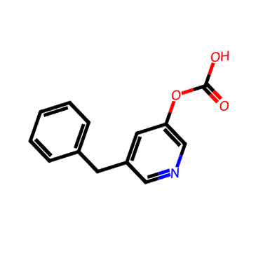 O=C(O)Oc1cncc(Cc2ccccc2)c1